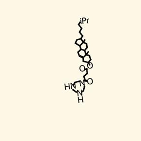 CC(C)CCCCC1CCC2C3CC=C4CC(OC(=O)CCC(=O)N5CCNCCNCC5)CCC4(C)C3CCC12C